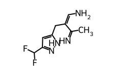 CC(=N)/C(=C\N)Cc1cc(C(F)F)n[nH]1